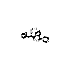 Cl.N[C@@H](Cc1cscn1)C(=O)N1CCC[C@H]1C(=O)N1CCOCC1